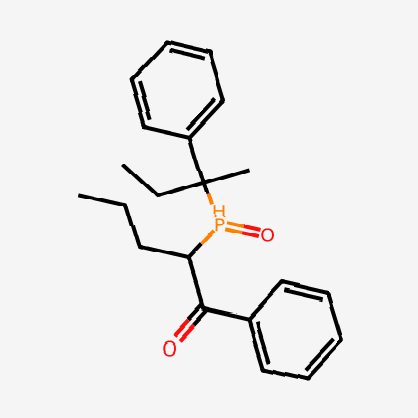 CCCC(C(=O)c1ccccc1)[PH](=O)C(C)(CC)c1ccccc1